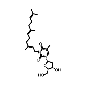 CC(C)=CCC/C(C)=C/CC/C(C)=C/Cn1c(=O)c(C)cn([C@H]2C[C@@H](O)[C@@H](CO)O2)c1=O